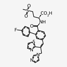 CS(=O)(=O)CC[C@H](NC(=O)c1ccc(C=C(Cn2ccnc2)c2nccs2)cc1-c1ccc(F)cc1)C(=O)O